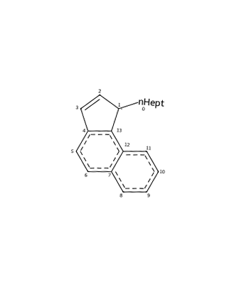 CCCCCCC[C]1C=Cc2ccc3ccccc3c21